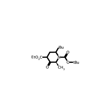 CCOC(=O)C1CC(C(C)CC)N(C(=O)OC(C)(C)C)[C@@H](C)C1=O